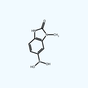 Cn1c(=O)[nH]c2ccc(B(O)O)cc21